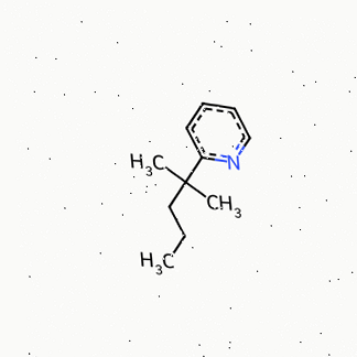 CCCC(C)(C)c1ccccn1